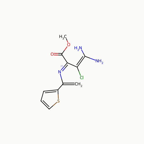 C=C(/N=C(/C(=O)OC)C(Cl)=C(N)N)c1cccs1